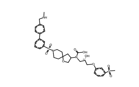 CNCc1ccc(-c2cccc(S(=O)(=O)N3CCC4(CC3)CC(N(C[C@H](O)COc3cccc(S(C)(=O)=O)c3)C(=O)O)CO4)c2)cc1